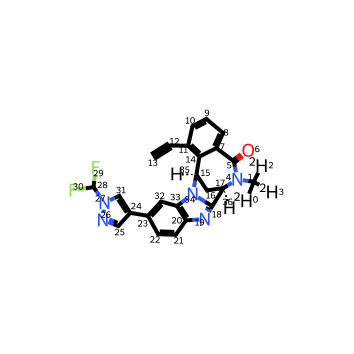 [2H]C([2H])([2H])N1C(=O)c2cccc(C#C)c2[C@H]2C[C@@H]1c1nc3ccc(-c4cnn(C(F)F)c4)cc3n12